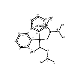 CN(C)CC(O)C(CC(C(=O)O)N(C)C)(c1ccccc1)c1ccccc1